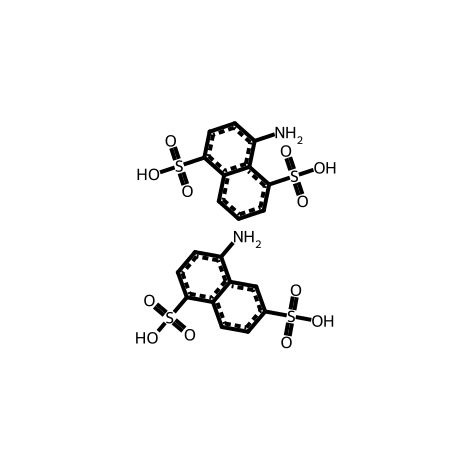 Nc1ccc(S(=O)(=O)O)c2ccc(S(=O)(=O)O)cc12.Nc1ccc(S(=O)(=O)O)c2cccc(S(=O)(=O)O)c12